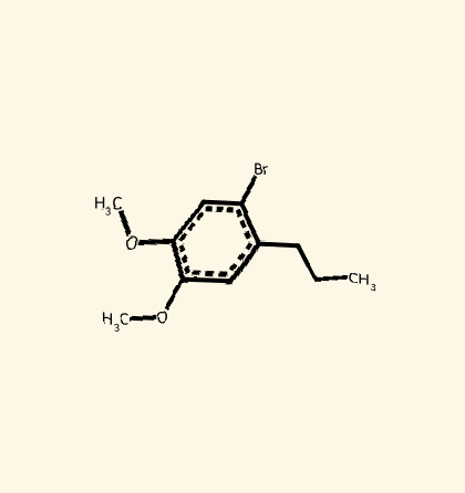 CCCc1cc(OC)c(OC)cc1Br